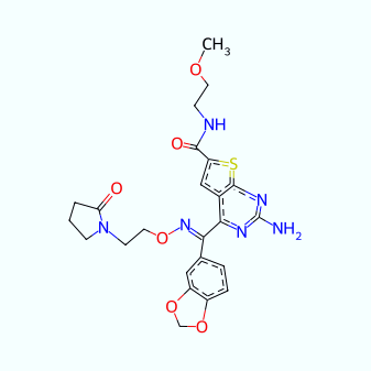 COCCNC(=O)c1cc2c(C(=NOCCN3CCCC3=O)c3ccc4c(c3)OCO4)nc(N)nc2s1